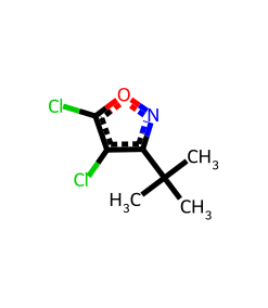 CC(C)(C)c1noc(Cl)c1Cl